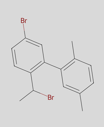 Cc1ccc(C)c(-c2cc(Br)ccc2C(C)Br)c1